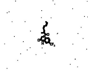 C\C=C/C=C\C=C(/C)C(=O)N1CC(=O)Nc2cc(C(F)(F)F)ccc21